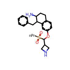 CCCS(=O)(=O)C(Oc1ccc2c(c1)C(Cc1ccccc1)C(N)CC2)C1CNC1